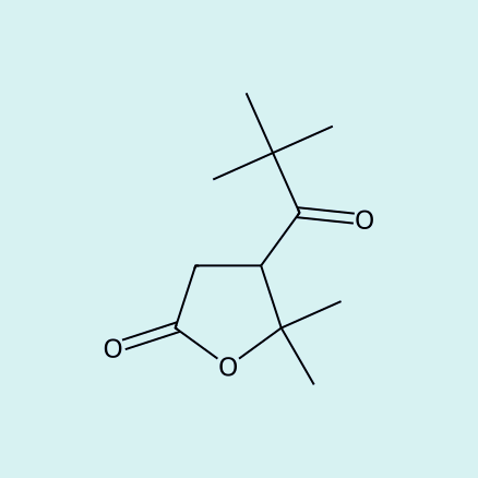 CC(C)(C)C(=O)C1CC(=O)OC1(C)C